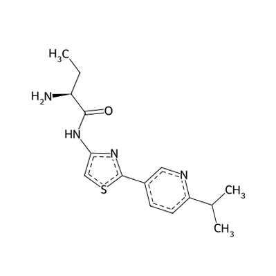 CC[C@H](N)C(=O)Nc1csc(-c2ccc(C(C)C)nc2)n1